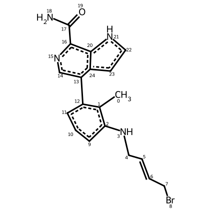 Cc1c(NC/C=C/CBr)cccc1-c1cnc(C(N)=O)c2[nH]ccc12